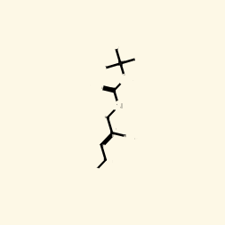 CC(C)(C)OC(=O)NCC(F)=CCF